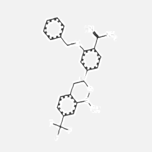 N=C(N)c1ccc([C@@H]2Cc3ccc(C(F)(F)F)cc3B(O)O2)cc1OCc1ccccc1